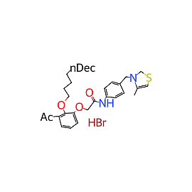 Br.CCCCCCCCCCCCCCOc1c(OCC(=O)Nc2ccc(CN3CSC=C3C)cc2)cccc1C(C)=O